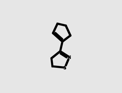 C1=C(C2=NSCC2)CCC1